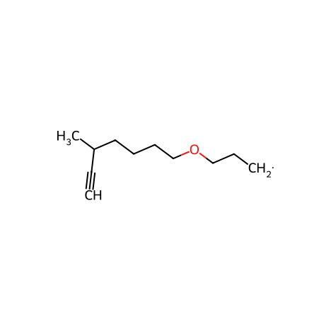 C#CC(C)CCCCOCC[CH2]